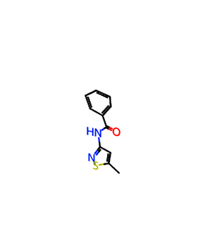 Cc1cc(NC(=O)c2ccccc2)ns1